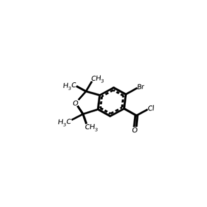 CC1(C)OC(C)(C)c2cc(C(=O)Cl)c(Br)cc21